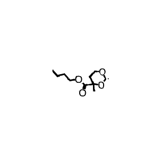 CCCCOC(=O)C1(C)CCO[CH]O1